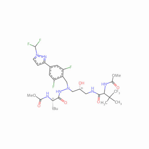 COC(=O)NC(C(=O)NC[C@@H](O)CN(Cc1c(F)cc(-c2ccn(C(F)F)n2)cc1F)NC(=O)[C@@H](NC(=O)OC)C(C)(C)C)C(C)(C)C(F)(F)F